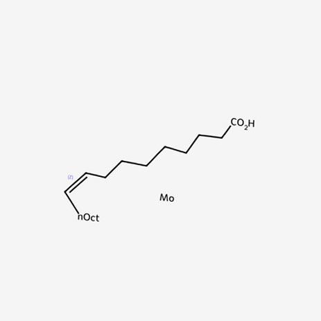 CCCCCCCC/C=C\CCCCCCCC(=O)O.[Mo]